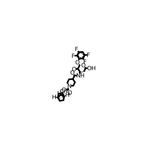 C[C@H]1[C@@H]2CC[C@H]1[C@H](OC(=O)N1CCC(C(=O)N[C@@H](CC(=O)O)C(=O)COc3c(F)c(F)cc(F)c3F)CC1)C2